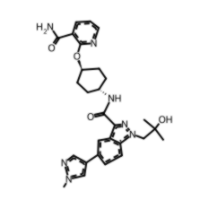 Cn1cc(-c2ccc3c(c2)c(C(=O)N[C@H]2CC[C@H](Oc4ncccc4C(N)=O)CC2)nn3CC(C)(C)O)cn1